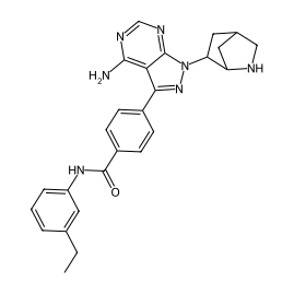 CCc1cccc(NC(=O)c2ccc(-c3nn(C4CC5CNC4C5)c4ncnc(N)c34)cc2)c1